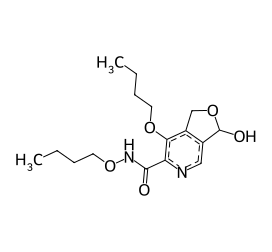 CCCCONC(=O)c1ncc2c(c1OCCCC)COC2O